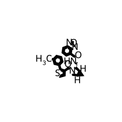 Cc1cccc(-c2sccc2C(=O)N2C[C@@H]3C[C@@H]3[C@H]2CNC(=O)c2cccc3nonc23)c1